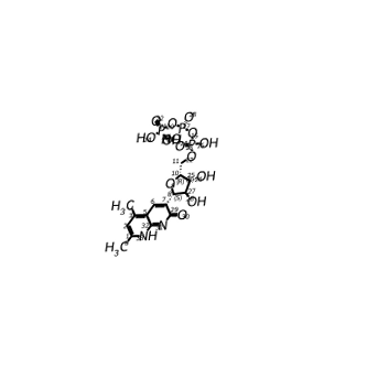 Cc1cc(C)c2cc([C@@H]3O[C@H](COP(=O)(O)OP(=O)(O)OP(=O)(O)O)[C@H](O)C3O)c(=O)nc-2[nH]1